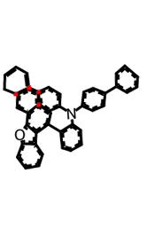 C1=CCCC(c2ccc(N(c3ccc(-c4ccccc4)cc3)c3ccccc3-c3cc4ccccc4c4oc5ccccc5c34)cc2)=C1